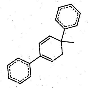 CC1(c2ccccc2)C=CC(c2ccccc2)=CC1